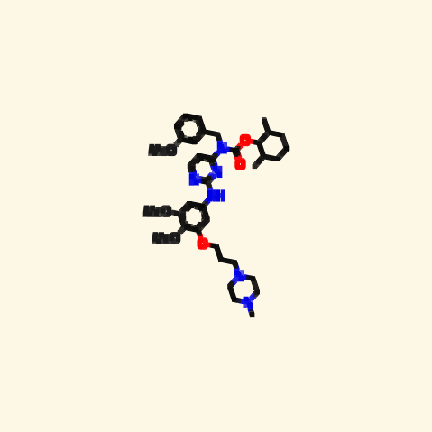 COc1cccc(CN(C(=O)OC2C(C)CCCC2C)c2ccnc(Nc3cc(OC)c(OC)c(OCCCN4CCN(C)CC4)c3)n2)c1